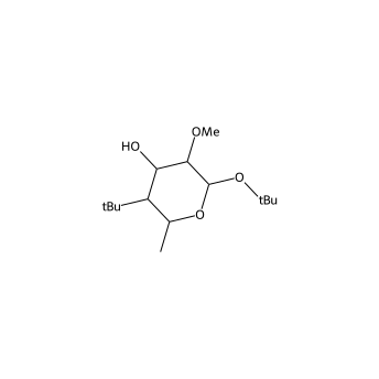 COC1C(OC(C)(C)C)OC(C)C(C(C)(C)C)C1O